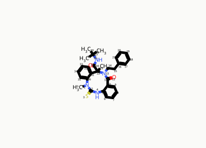 CN1C(=S)Nc2ccccc2C(=O)N(CCc2ccccc2)C(C)(C(=O)NC(C)(C)C)c2ccccc21